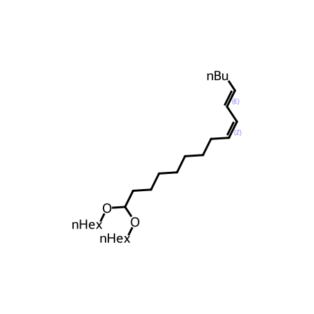 CCCC/C=C/C=C\CCCCCCCC(OCCCCCC)OCCCCCC